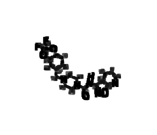 O=C(Nc1noc2ncccc12)N1CCN(Cc2ccc3c(c2)OC(F)(F)O3)CC1